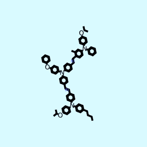 CCCCc1ccc(N(c2ccc(/C=C/c3ccc(N(c4ccc(/C=C/c5ccc(N(c6ccccc6)c6ccc(OC(C)C)cc6)cc5C)cc4)c4ccc(Oc5ccccc5)cc4)cc3)cc2)c2ccc(OC(C)C)cc2)cc1